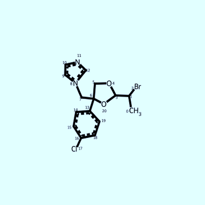 CC(Br)C1OCC(Cn2ccnc2)(c2ccc(Cl)cc2)O1